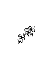 CCOC(=O)CCNC(=O)CC(=O)OC